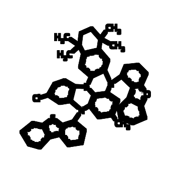 Cc1cc2c3c(c1)N(c1cccc4oc5ccccc5c14)c1cc4c(cc1B3c1ccc(Cl)cc1N2c1cccc2c1sc1ccccc12)C(C)(C)CCC4(C)C